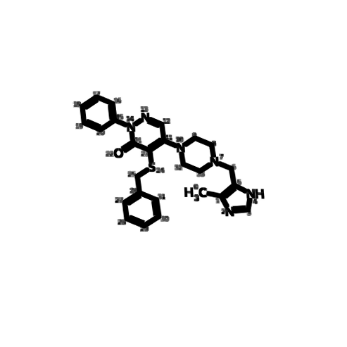 Cc1nc[nH]c1CN1CCN(c2cnn(-c3ccccc3)c(=O)c2SCc2ccccc2)CC1